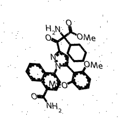 COC(=O)C(N)(C(=O)c1cc(-c2c(OC)cccc2OC)n(-c2ccc(C(N)=O)c3ccccc23)n1)C1CCCCC1